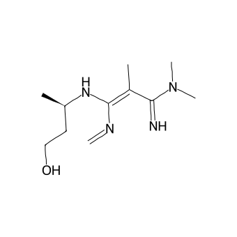 C=N/C(N[C@H](C)CCO)=C(/C)C(=N)N(C)C